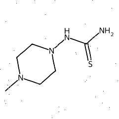 CN1CCN(NC(N)=S)CC1